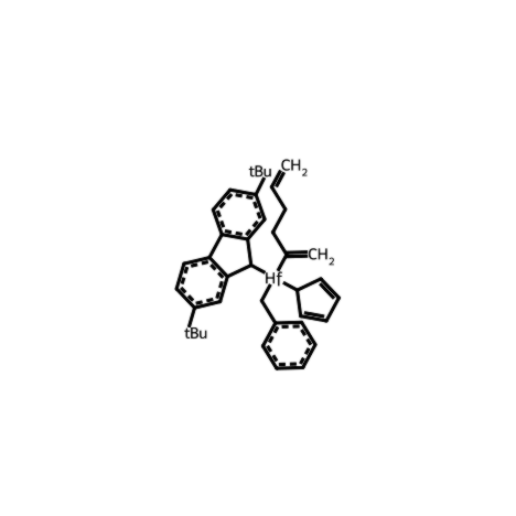 C=CCC[C](=C)[Hf]([CH2]c1ccccc1)([CH]1C=CC=C1)[CH]1c2cc(C(C)(C)C)ccc2-c2ccc(C(C)(C)C)cc21